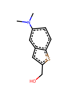 CN(C)c1ccc2sc(CO)cc2c1